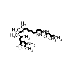 C=C/C(N)=C\C(=C/C)CC(=C)N(C)C(=C)SC(=C)CCCCc1ccc(NC(=O)C/C(C)=C/C)nn1